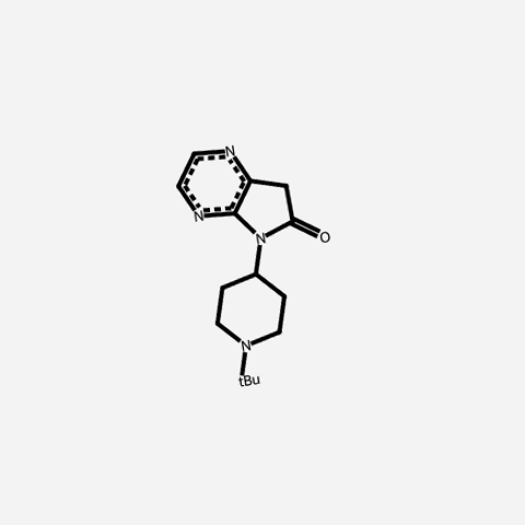 CC(C)(C)N1CCC(N2C(=O)Cc3nccnc32)CC1